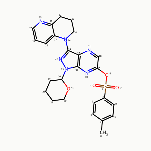 Cc1ccc(S(=O)(=O)Oc2cnc3c(N4CCCc5ncccc54)nn(C4CCCCO4)c3n2)cc1